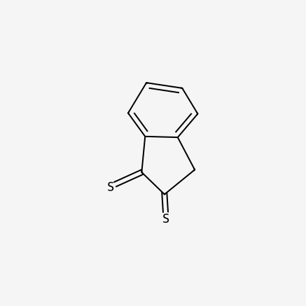 S=C1Cc2ccccc2C1=S